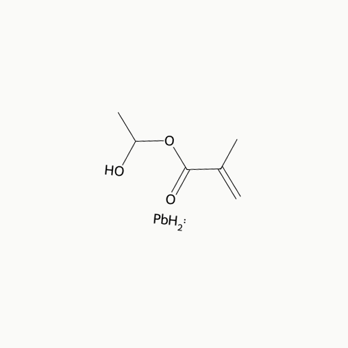 C=C(C)C(=O)OC(C)O.[PbH2]